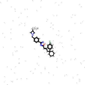 O=C(O)C1CN(Cc2ccc(-c3noc(/C=C/CC4(c5ccc(F)cc5)CCCCC4)n3)cc2)C1